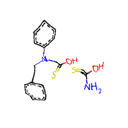 NC(O)=S.OC(=S)N(Cc1ccccc1)c1ccccc1